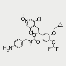 CO[n+]1cc(Cl)c(C[C@H](OC(=O)N(C)Cc2ccc(N)cc2)c2ccc(OC(F)F)c(OCC3CC3)c2)c(Cl)c1